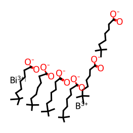 CC(C)(C)CCCCCC(=O)[O-].CC(C)(C)CCCCCC(=O)[O-].CC(C)(C)CCCCCC(=O)[O-].CC(C)(C)CCCCCC(=O)[O-].CC(C)(C)CCCCCC(=O)[O-].CC(C)(C)CCCCCC(=O)[O-].[B+3].[Bi+3]